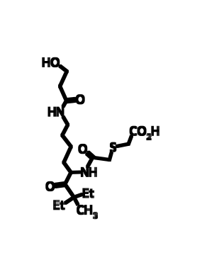 CCC(C)(CC)C(=O)C(CCCCNC(=O)CCO)NC(=O)CSCC(=O)O